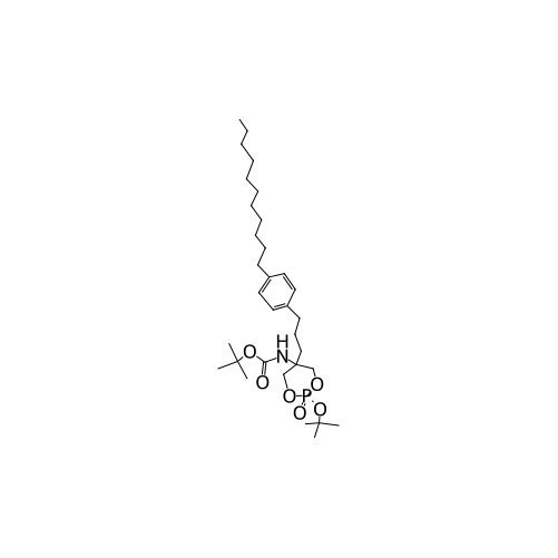 CCCCCCCCCCCc1ccc(CCCC2(NC(=O)OC(C)(C)C)COP(=O)(OC(C)(C)C)OC2)cc1